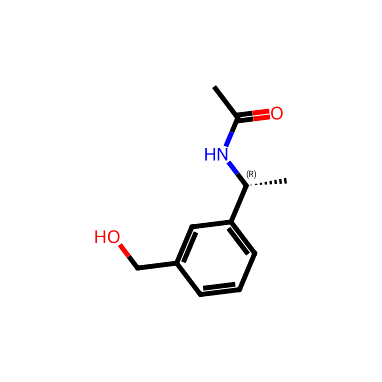 CC(=O)N[C@H](C)c1cccc(CO)c1